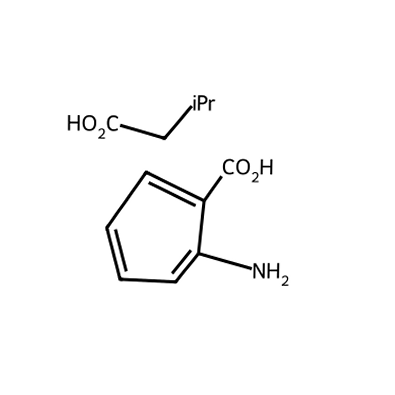 CC(C)CC(=O)O.Nc1ccccc1C(=O)O